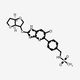 CS(=O)(=O)NCc1ccc(-c2nc3nc(OC4CO[C@@H]5CCO[C@H]45)[nH]c3cc2Cl)cc1